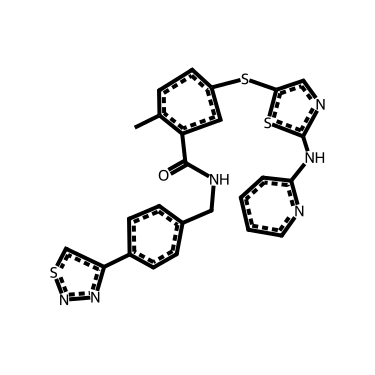 Cc1ccc(Sc2cnc(Nc3ccccn3)s2)cc1C(=O)NCc1ccc(-c2csnn2)cc1